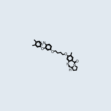 Cc1ccc(Oc2cc(OCCCCOc3cc4c(cc3C)C(=O)N3CCC[C@H]3C=N4)ccc2N)cc1C